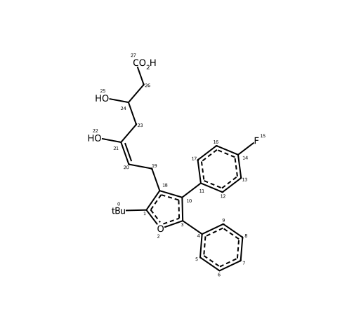 CC(C)(C)c1oc(-c2ccccc2)c(-c2ccc(F)cc2)c1C/C=C(/O)CC(O)CC(=O)O